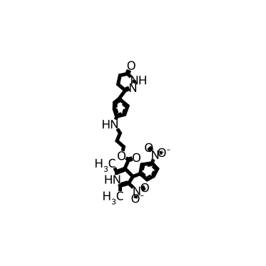 CC1=C(C(=O)OCCCNc2ccc(C3=NNC(=O)CC3)cc2)C(c2cccc([N+](=O)[O-])c2)C([N+](=O)[O-])=C(C)N1